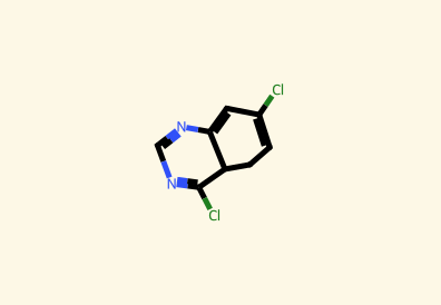 ClC1=CCC2C(=C1)N=CN=C2Cl